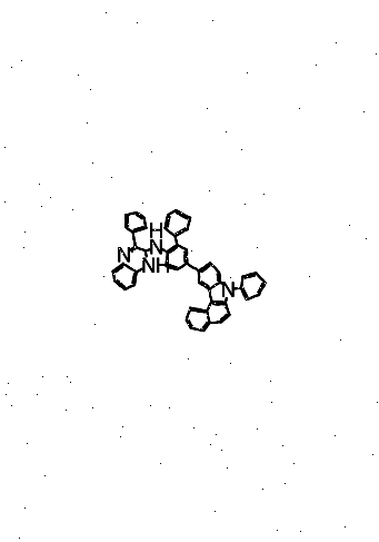 c1ccc(C2=Nc3ccccc3NC2Nc2ccc(-c3ccc4c(c3)c3c5ccccc5ccc3n4-c3ccccc3)cc2-c2ccccc2)cc1